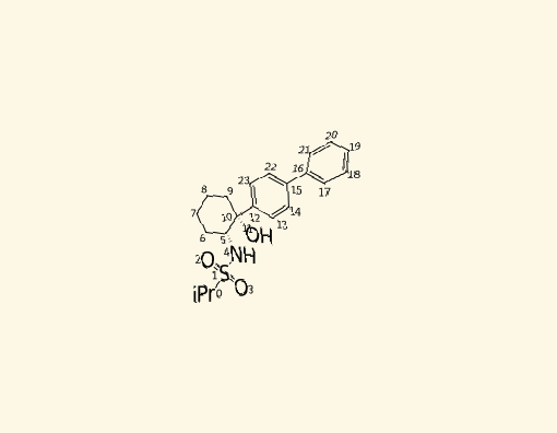 CC(C)S(=O)(=O)N[C@@H]1CCCC[C@@]1(O)c1ccc(-c2ccccc2)cc1